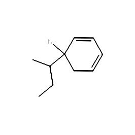 CCC(C)C1(N)C=CC=CC1